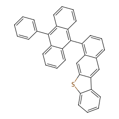 c1ccc(-c2c3ccccc3c(-c3cccc4cc5c(cc34)sc3ccccc35)c3ccccc23)cc1